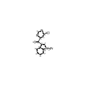 CC(C)n1cc(C(=O)c2cc(Cl)ncn2)c2ccccc21